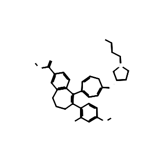 O=C(OF)c1ccc2c(c1)CCCC(c1ccc(OC(F)(F)F)cc1F)=C2C1=CC=C(O[C@H]2CCN(CCCF)C2)CC=C1